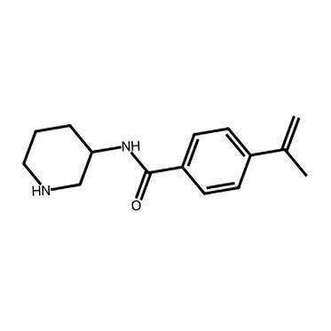 C=C(C)c1ccc(C(=O)NC2CCCNC2)cc1